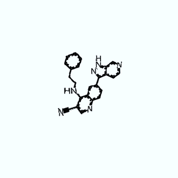 N#Cc1cnc2ccc(-c3n[nH]c4cnccc34)cc2c1NCCc1ccccc1